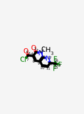 Cn1c(=O)c(C(=O)Cl)cc2ccc(C(F)(F)F)nc21